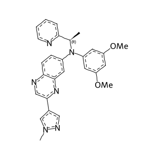 COc1cc(OC)cc(N(c2ccc3ncc(-c4cnn(C)c4)nc3c2)[C@H](C)c2ccccn2)c1